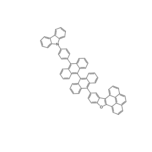 c1ccc2c(-c3c4ccccc4c(-c4ccc5oc6c7cccc8ccc9cccc(c6c5c4)c9c87)c4ccccc34)c3ccccc3c(-c3ccc(-n4c5ccccc5c5ccccc54)cc3)c2c1